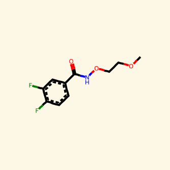 COCCONC(=O)c1ccc(F)c(F)c1